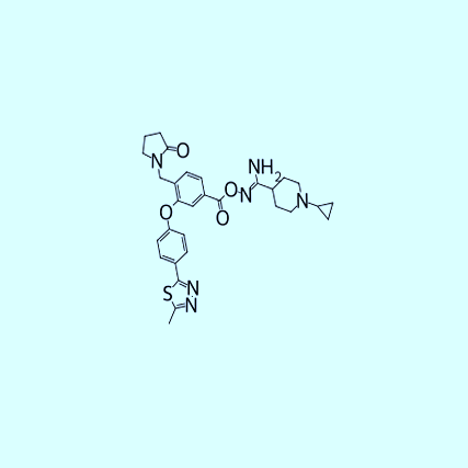 Cc1nnc(-c2ccc(Oc3cc(C(=O)O/N=C(\N)C4CCN(C5CC5)CC4)ccc3CN3CCCC3=O)cc2)s1